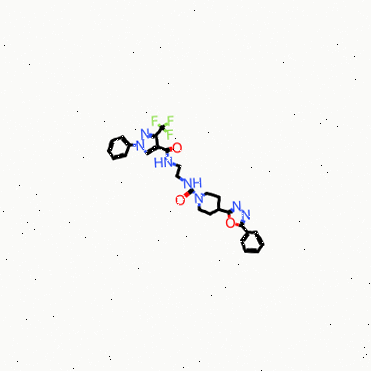 O=C(NCCNC(=O)N1CCC(c2nnc(-c3ccccc3)o2)CC1)c1cn(-c2ccccc2)nc1C(F)(F)F